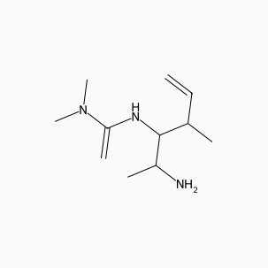 C=CC(C)C(NC(=C)N(C)C)C(C)N